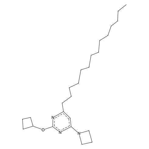 CCCCCCCCCCCCCCc1cc(N2CCC2)nc(OC2CCC2)n1